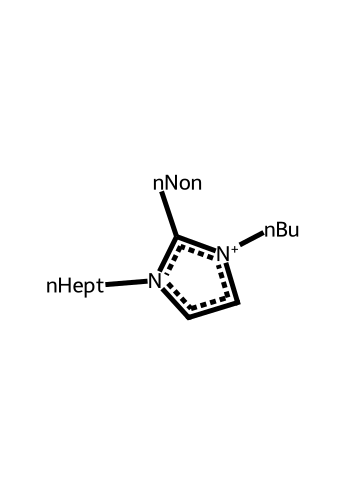 CCCCCCCCCc1n(CCCCCCC)cc[n+]1CCCC